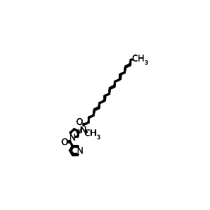 CCC=CCC=CCC=CCC=CCC=CCCCC(=O)N(C)[C@H]1CCN(C(=O)c2cccnc2)C1